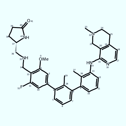 COc1cc(-c2cccc(-c3cccc(Nc4nccc5c4CN(C)CC5)c3C)c2C)cc(F)c1CNC[C@@H]1CCC(=O)N1